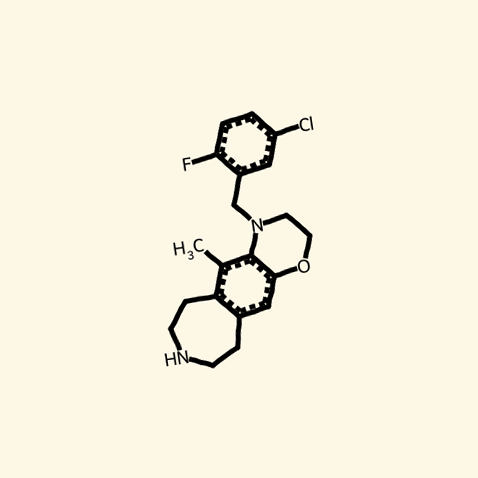 Cc1c2c(cc3c1N(Cc1cc(Cl)ccc1F)CCO3)CCNCC2